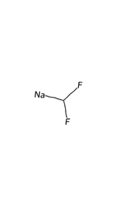 F[CH](F)[Na]